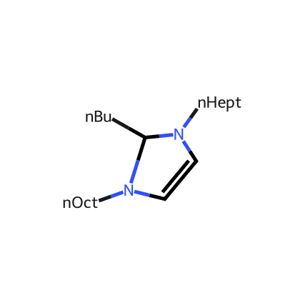 CCCCCCCCN1C=CN(CCCCCCC)C1CCCC